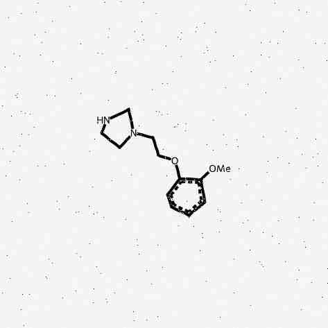 COc1c[c]ccc1OCCN1CCNC1